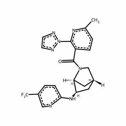 Cc1ccc(C(=O)N2C[C@@H]3C[C@@H](Nc4ccc(C(F)(F)F)cn4)[C@@H]2C3)c(-n2nccn2)n1